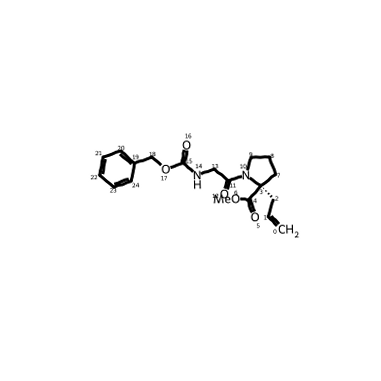 C=CC[C@@]1(C(=O)OC)CCCN1C(=O)CNC(=O)OCc1ccccc1